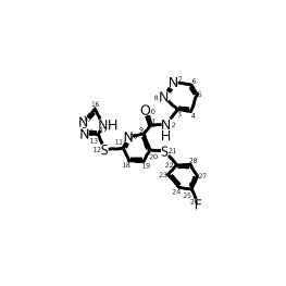 O=C(Nc1cccnn1)c1nc(Sc2nnc[nH]2)ccc1Sc1ccc(F)cc1